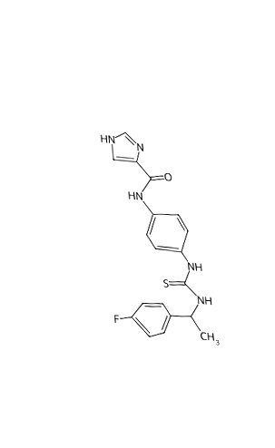 CC(NC(=S)Nc1ccc(NC(=O)c2c[nH]cn2)cc1)c1ccc(F)cc1